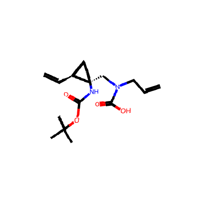 C=CCN(C[C@@]1(NC(=O)OC(C)(C)C)C[C@@H]1C=C)C(=O)O